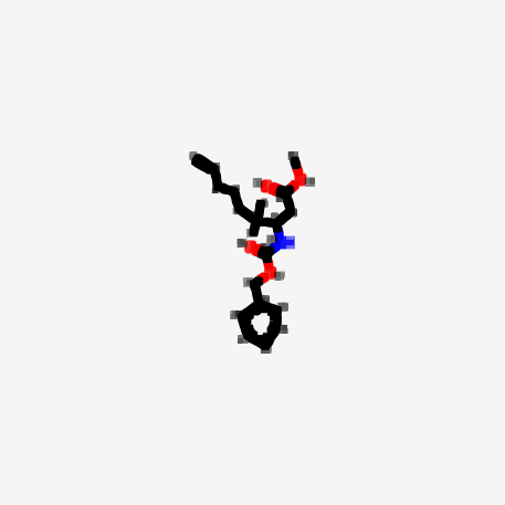 C=CCCCC(C)(C)C(CC(=O)OC)NC(=O)OCc1ccccc1